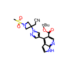 CCCCOC(=O)c1cnc2[nH]ccc2c1-c1cnn(C2(CC#N)CN(S(C)(=O)=O)C2)c1